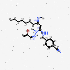 C=C(Br)/C=N\N(C)/C(=C\C(CCCCCCC)=N/C)NCc1ccc(C#N)cc1